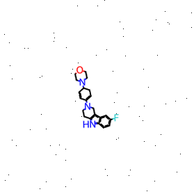 Fc1ccc2[nH]c3c(c2c1)CN(C1=CCC(N2CCOCC2)C=C1)CC3